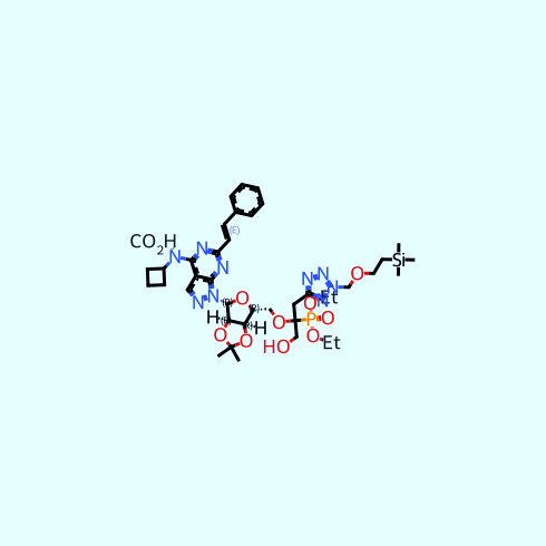 CCOP(=O)(OCC)C(CO)(Cc1nnn(COCC[Si](C)(C)C)n1)OC[C@H]1O[C@@H](n2ncc3c(N(C(=O)O)C4CCC4)nc(/C=C/c4ccccc4)nc32)[C@@H]2OC(C)(C)O[C@@H]21